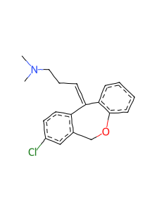 CN(C)CC/C=C1\c2ccc(Cl)cc2COc2ccccc21